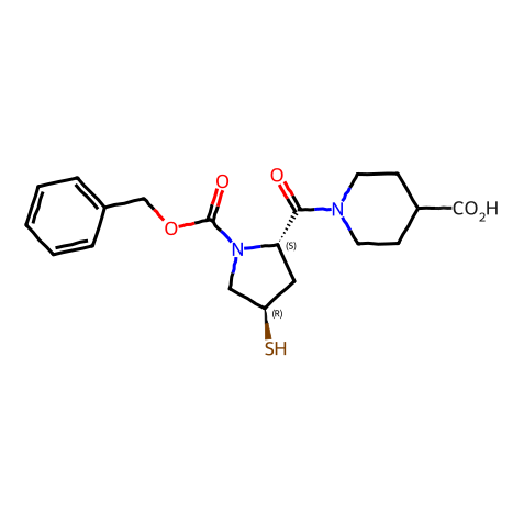 O=C(O)C1CCN(C(=O)[C@@H]2C[C@@H](S)CN2C(=O)OCc2ccccc2)CC1